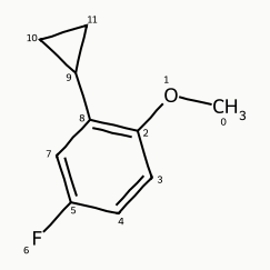 COc1ccc(F)cc1C1CC1